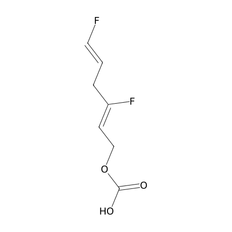 O=C(O)OCC=C(F)CC=CF